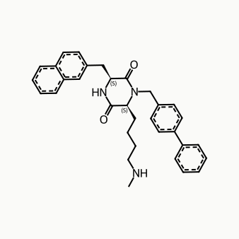 CNCCCC[C@H]1C(=O)N[C@@H](Cc2ccc3ccccc3c2)C(=O)N1Cc1ccc(-c2ccccc2)cc1